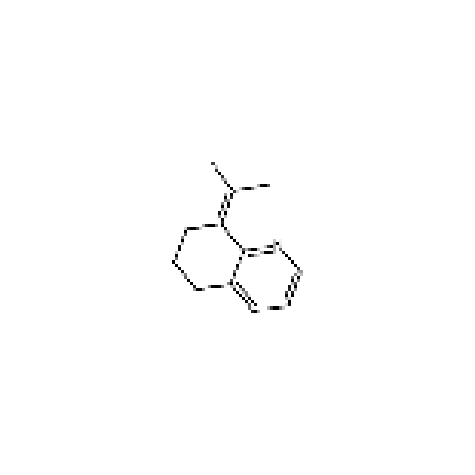 CC(C)=C1CCCc2cccnc21